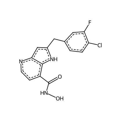 O=C(NO)c1ccnc2cc(Cc3ccc(Cl)c(F)c3)[nH]c12